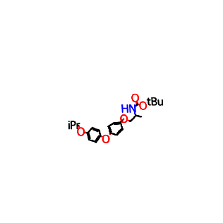 CC(COc1ccc(Oc2ccc(OC(C)C)cc2)cc1)NC(=O)OC(C)(C)C